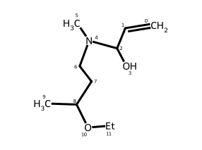 C=CC(O)N(C)CCC(C)OCC